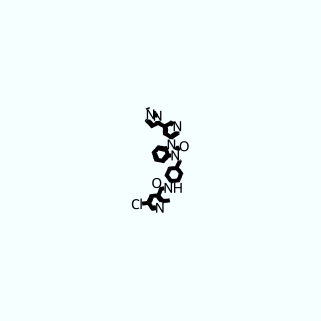 Cc1ncc(Cl)cc1C(=O)NC1CCC(Cn2c(=O)n(-c3cncc(-c4ccn(C)n4)c3)c3ccccc32)CC1